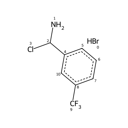 Br.NC(Cl)c1cccc(C(F)(F)F)c1